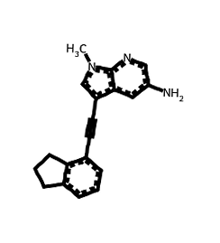 Cn1cc(C#Cc2cccc3c2CCC3)c2cc(N)cnc21